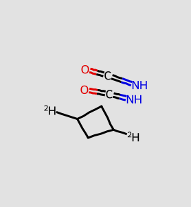 N=C=O.N=C=O.[2H]C1CC([2H])C1